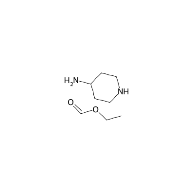 CCOC=O.NC1CCNCC1